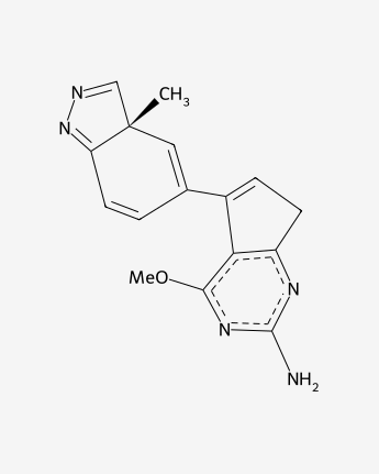 COc1nc(N)nc2c1C(C1=C[C@@]3(C)C=NN=C3C=C1)=CC2